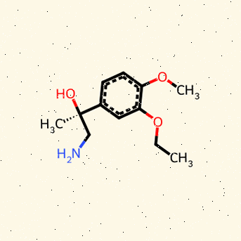 CCOc1cc([C@](C)(O)CN)ccc1OC